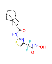 O=C(Nc1nc(C(F)(F)C(=O)NO)cs1)C12CC3CCCC(C1)C(C3)C2